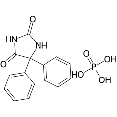 O=C1NC(=O)C(c2ccccc2)(c2ccccc2)N1.O=P(O)(O)O